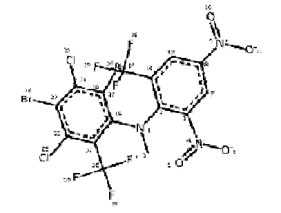 CN(c1c([N+](=O)[O-])cc([N+](=O)[O-])cc1C(F)(F)F)c1c(Br)c(Cl)c(Br)c(Cl)c1C(F)(F)F